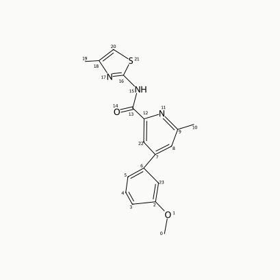 COc1cccc(-c2cc(C)nc(C(=O)Nc3nc(C)cs3)c2)c1